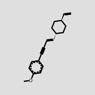 C=C[C@H]1CC[C@H](C=CC#Cc2ccc(OC)cc2)CC1